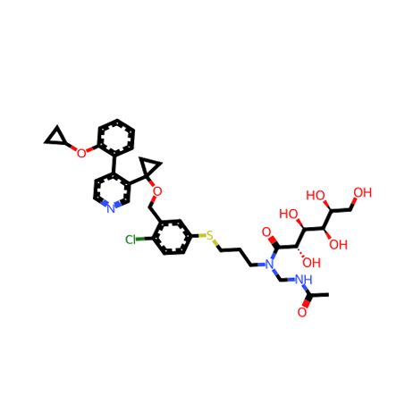 CC(=O)NCN(CCCSc1ccc(Cl)c(COC2(c3cnccc3-c3ccccc3OC3CC3)CC2)c1)C(=O)[C@@H](O)[C@@H](O)[C@H](O)[C@@H](O)CO